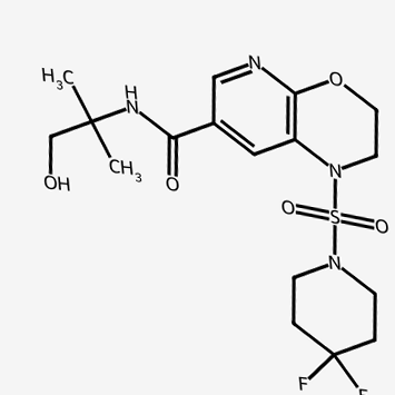 CC(C)(CO)NC(=O)c1cnc2c(c1)N(S(=O)(=O)N1CCC(F)(F)CC1)CCO2